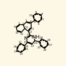 C1=CC2C=C(c3ccccc3)C=C(C3=NC(c4ccccc4)=CC(c4ccccc4)N3)C2C=C1